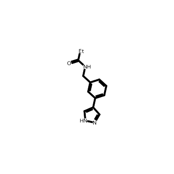 CCC(=O)NCc1cccc(-c2cn[nH]c2)c1